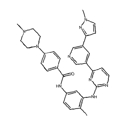 Cc1ccc(NC(=O)c2ccc(N3CCN(C)CC3)cc2)cc1Nc1nccc(-c2cncc(-c3ccn(C)n3)c2)n1